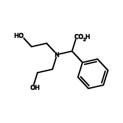 O=C(O)C(c1ccccc1)N(CCO)CCO